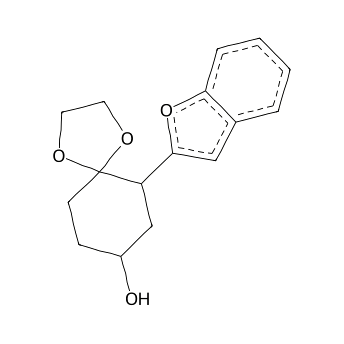 OC1CCC2(OCCO2)C(c2cc3ccccc3o2)C1